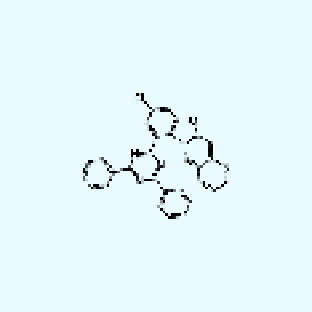 Clc1cc2c(c(-c3nc(-c4ccccc4)nc(-c4ccccc4)n3)c1)C1C=c3cccnc3=CC1O2